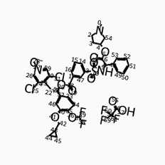 CN1CCC(OC(=O)C(NS(=O)(=O)c2cccc(C(=O)O[C@@H](Cc3c(Cl)c[n+]([O-])cc3Cl)c3ccc(OC(F)F)c(OCC4CC4)c3)c2)c2ccccc2)C1.O=C(O)C(F)(F)F